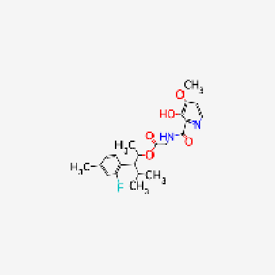 COc1ccnc(C(=O)NCC(=O)OC(C)C(c2ccc(C)cc2F)C(C)C)c1O